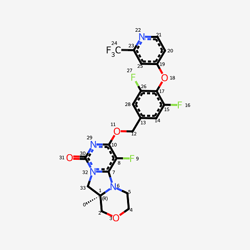 C[C@@]12COCCN1c1c(F)c(OCc3cc(F)c(Oc4ccnc(C(F)(F)F)c4)c(F)c3)nc(=O)n1C2